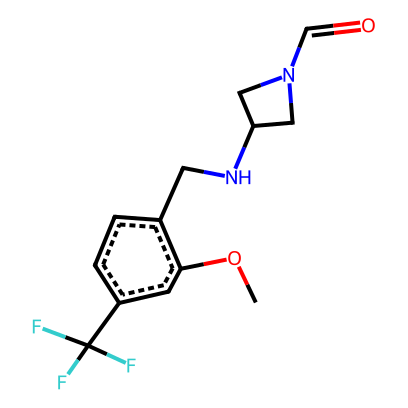 COc1cc(C(F)(F)F)ccc1CNC1CN(C=O)C1